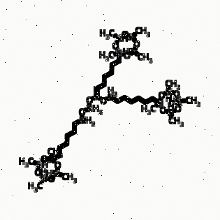 C[SiH]1O[SiH](C)O[Si](C)(CCCCCC[SiH2]O[SiH2]O[SiH](CCCCCC[Si]2(C)O[SiH](C)O[SiH](C)O[SiH](C)O2)O[SiH2]CCCCCC[Si]2(C)O[SiH](C)O[SiH](C)O[SiH](C)O2)O[SiH](C)O1